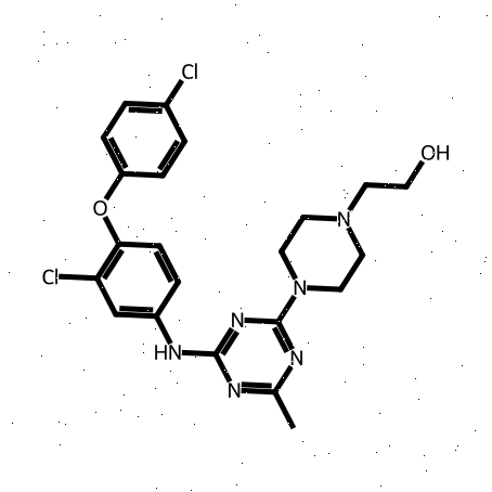 Cc1nc(Nc2ccc(Oc3ccc(Cl)cc3)c(Cl)c2)nc(N2CCN(CCO)CC2)n1